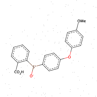 COc1ccc(Oc2ccc([S+]([O-])c3ccccc3C(=O)O)cc2)cc1